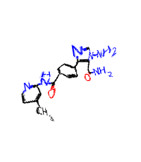 Cc1ccnc(NC(=O)c2ccc(-c3ncn(N)c3C(N)=O)cc2)c1